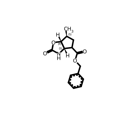 C[C@H]1CC(C(=O)OCc2ccccc2)[C@@H]2NC(=O)O[C@H]12